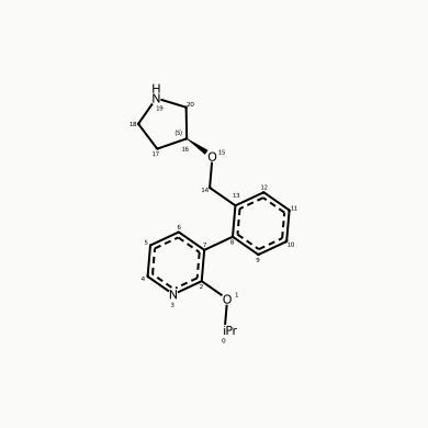 CC(C)Oc1ncccc1-c1ccccc1CO[C@H]1CCNC1